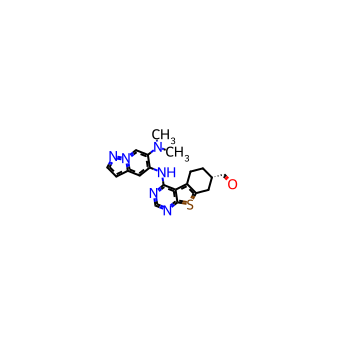 CN(C)c1cn2nccc2cc1Nc1ncnc2sc3c(c12)CC[C@H](C=O)C3